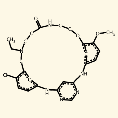 CCN1CCC(=O)NCCOc2cc(ccc2OC)Nc2cc(ncn2)Nc2ccc(Cl)c(c2)C1